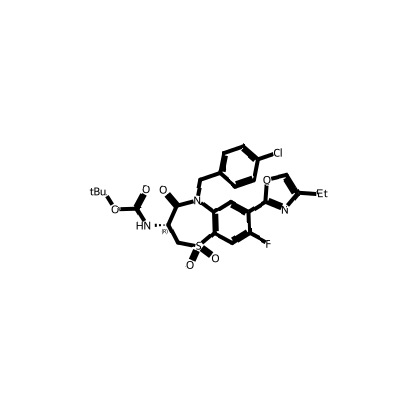 CCc1coc(-c2cc3c(cc2F)S(=O)(=O)C[C@H](NC(=O)OC(C)(C)C)C(=O)N3Cc2ccc(Cl)cc2)n1